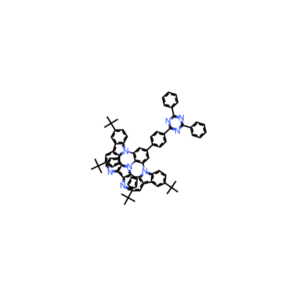 CC(C)(C)c1ccc2c(c1)c1cc(C(C)(C)C)ccc1n2-c1cc(-c2ccc(-c3nc(-c4ccccc4)nc(-c4ccccc4)n3)cc2)cc(-n2c3ccc(C(C)(C)C)cc3c3cc(C(C)(C)C)ccc32)c1-n1c2cccnc2c2ncccc21